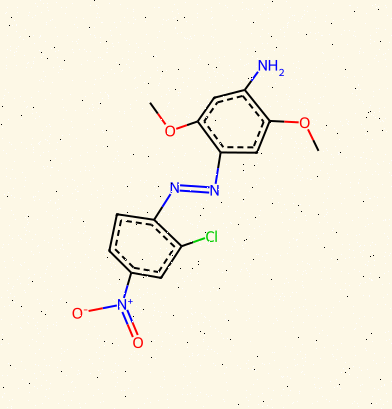 COc1cc(N=Nc2ccc([N+](=O)[O-])cc2Cl)c(OC)cc1N